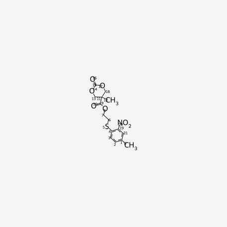 Cc1ccc(SCCOC(=O)C2(C)COC(=O)OC2)c([N+](=O)[O-])c1